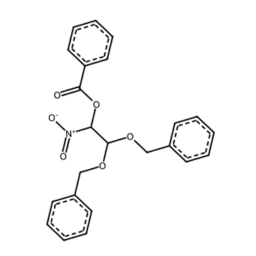 O=C(OC(C(OCc1ccccc1)OCc1ccccc1)[N+](=O)[O-])c1ccccc1